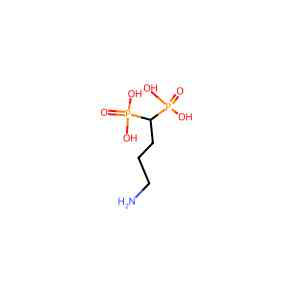 NCCCC(P(=O)(O)O)P(=O)(O)O